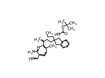 C=C(CCC1(CCC)Cc2ccccc2[C@H]1NC(=O)OC(C)(C)C)C1=C(C)C=C=C(C=N)C(N)=N1